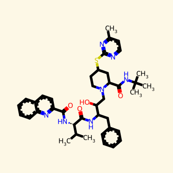 Cc1ccnc(SC2CCN(CC(O)C(Cc3ccccc3)NC(=O)[C@@H](NC(=O)c3ccc4ccccc4n3)C(C)C)C(C(=O)NC(C)(C)C)C2)n1